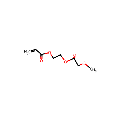 C=CC(=O)OCCOC(=O)COC